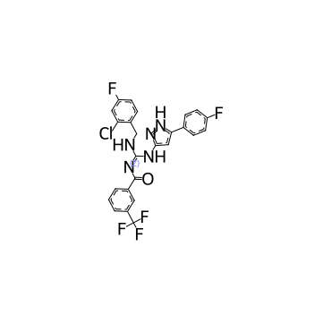 O=C(/N=C(/NCc1ccc(F)cc1Cl)Nc1cc(-c2ccc(F)cc2)[nH]n1)c1cccc(C(F)(F)F)c1